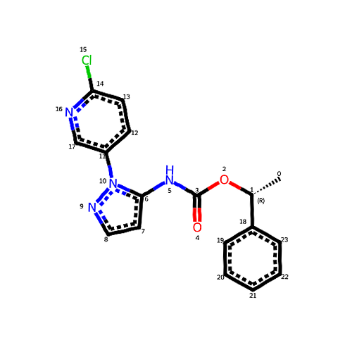 C[C@@H](OC(=O)Nc1ccnn1-c1ccc(Cl)nc1)c1ccccc1